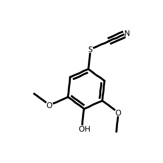 COc1cc(SC#N)cc(OC)c1O